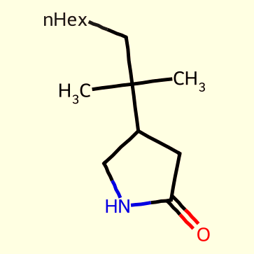 CCCCCCCC(C)(C)C1CNC(=O)C1